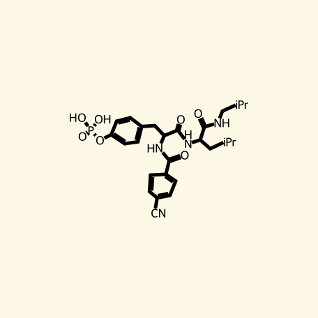 CC(C)CNC(=O)C(CC(C)C)NC(=O)C(Cc1ccc(OP(=O)(O)O)cc1)NC(=O)c1ccc(C#N)cc1